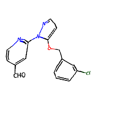 O=Cc1ccnc(-n2nccc2OCc2cccc(Cl)c2)c1